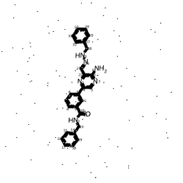 Nc1ncc(-c2cccc(C(=O)NCc3ccccc3)c2)nc1C=NNCc1ccccc1